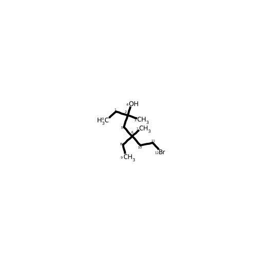 CCC(C)(O)CC(C)(CC)CCBr